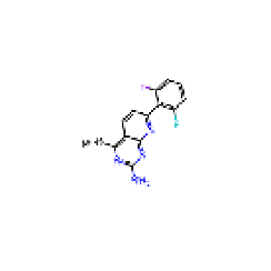 CNc1nc(N)nc2nc(-c3c(F)cccc3I)ccc12